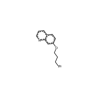 CC(C)CCCOc1ccc2cccnc2c1